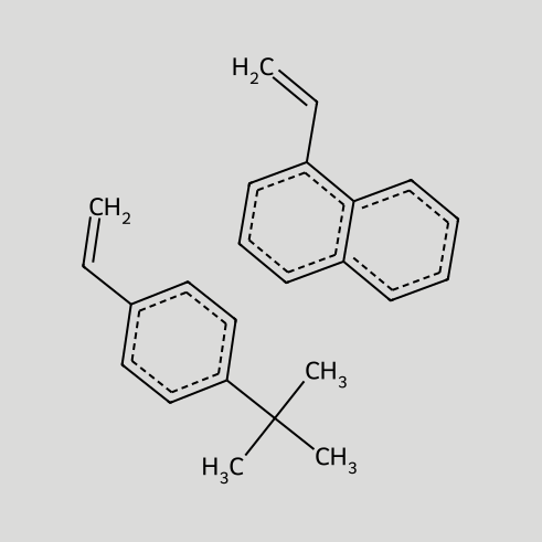 C=Cc1ccc(C(C)(C)C)cc1.C=Cc1cccc2ccccc12